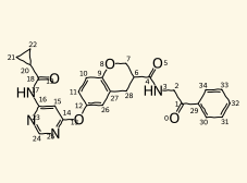 O=C(CNC(=O)C1COc2ccc(Oc3cc(NC(=O)C4CC4)ncn3)cc2C1)c1ccccc1